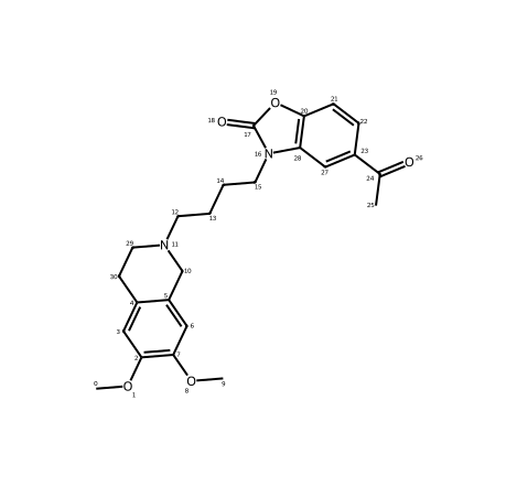 COc1cc2c(cc1OC)CN(CCCCn1c(=O)oc3ccc(C(C)=O)cc31)CC2